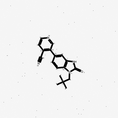 CC(C)(C)Cn1c(=O)[nH]c2cc(-c3cnccc3C#N)ccc21